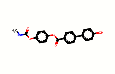 CNC(=O)Oc1ccc(OC(=O)c2ccc(-c3ccc(O)cc3)cc2)cc1